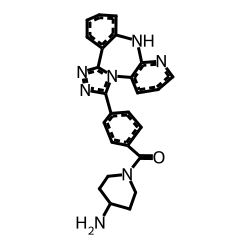 NC1CCN(C(=O)c2ccc(-c3nnc4n3-c3cccnc3Nc3ccccc3-4)cc2)CC1